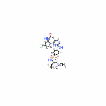 CC(CN(C)C)NS(=O)(=O)c1ccc(Nc2ncc3c(n2)-c2ccc(Cl)cc2NC(=O)C3)cc1